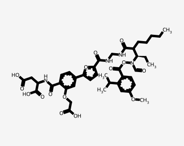 CCCCCC(C(=O)NCNC(=O)c1ccc(-c2ccc(C(=O)NC(CC(=O)O)C(=O)O)c(OCC(=O)O)c2)o1)[C@@H](CC)N(C=O)OC(=O)c1ccc(OC)cc1C(C)C